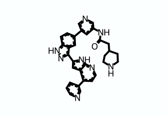 O=C(CC1CCNCC1)Nc1cncc(-c2ccc3[nH]nc(-c4cc5c(-c6cccnc6)ccnc5[nH]4)c3c2)c1